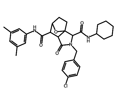 Cc1cc(C)cc(NC(=O)C2C3CCC4(O3)C2C(=O)N(Cc2ccc(Cl)cc2)C4C(=O)NC2CCCCC2)c1